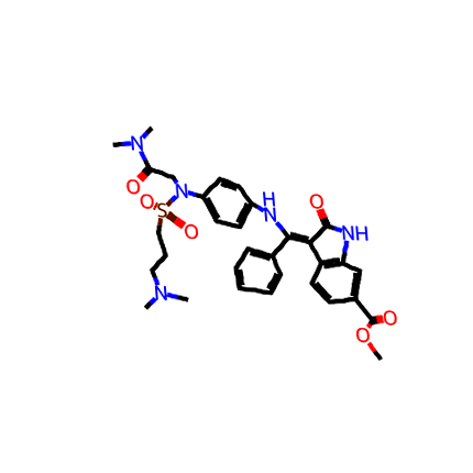 COC(=O)c1ccc2c(c1)NC(=O)/C2=C(\Nc1ccc(N(CC(=O)N(C)C)S(=O)(=O)CCCN(C)C)cc1)c1ccccc1